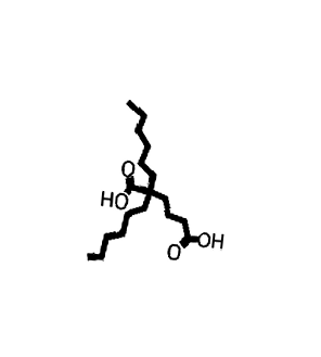 CCCCCCC(CCCCCC)(CCCC(=O)O)C(=O)O